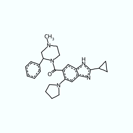 CN1CCN(C(=O)c2cc3[nH]c(C4CC4)nc3cc2N2CCCC2)C(c2ccccc2)C1